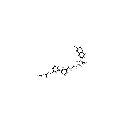 CCOC(=O)COc1cccc(-c2cccc(CNCC[C@H]3CN(c4ccc5c(n4)OC(=O)CN5)C(=O)O3)c2)c1